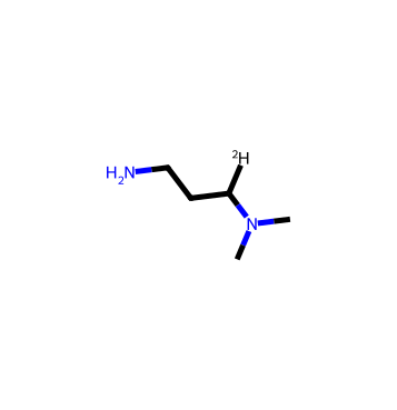 [2H]C(CCN)N(C)C